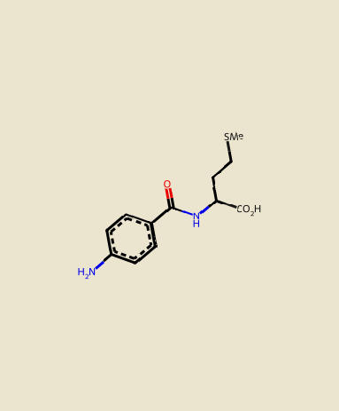 CSCCC(NC(=O)c1ccc(N)cc1)C(=O)O